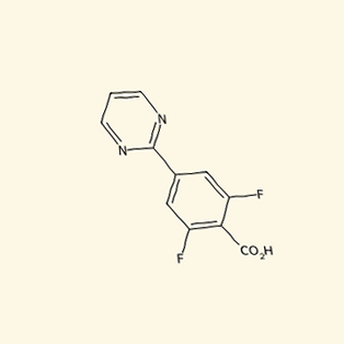 O=C(O)c1c(F)cc(-c2ncccn2)cc1F